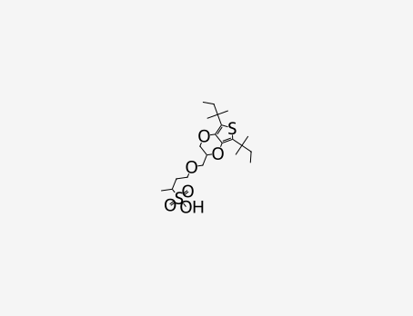 CCC(C)(C)c1sc(C(C)(C)CC)c2c1OCC(COCCC(C)S(=O)(=O)O)O2